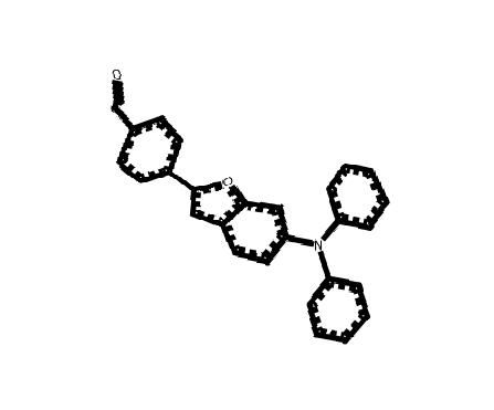 O=Cc1ccc(-c2cc3ccc(N(c4ccccc4)c4ccccc4)cc3o2)cc1